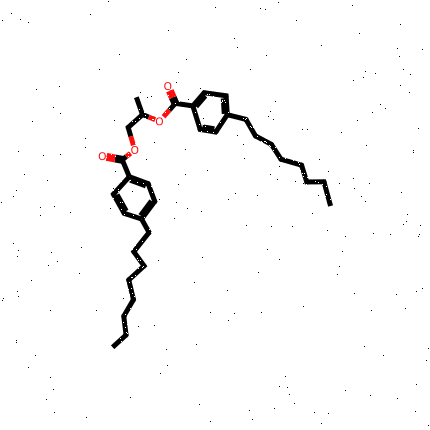 CCCCCCCCc1ccc(C(=O)OCC(C)OC(=O)c2ccc(CCCCCCCC)cc2)cc1